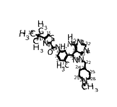 Cc1ccc(NC(=O)c2nc(C(C)(C)C)cs2)cc1-c1nn(CC2CCN(C)CC2)c2ncnc(N)c12